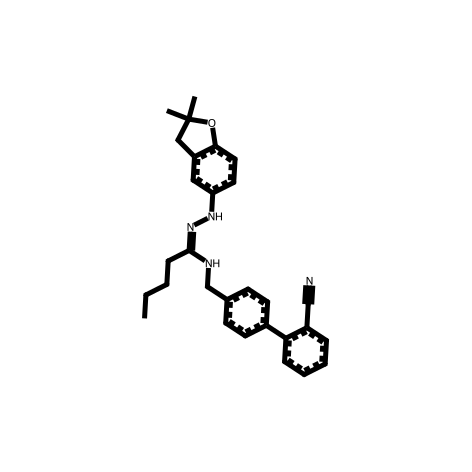 CCCC/C(=N/Nc1ccc2c(c1)CC(C)(C)O2)NCc1ccc(-c2ccccc2C#N)cc1